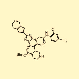 CCc1c(C2CNCCN2C(=O)OC(C)(C)C)c(=O)n2nc(-c3cc4c(s3)COCC4)nc2n1CC(=O)Nc1ccc(C(F)(F)F)cc1Cl